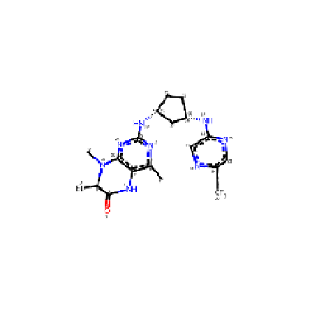 CCC1C(=O)Nc2c(C)nc(N[C@@H]3CC[C@H](Nc4cnc(C(F)(F)F)cn4)C3)nc2N1C